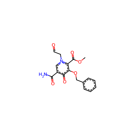 COC(=O)c1c(OCc2ccccc2)c(=O)c(C(N)=O)cn1CC=O